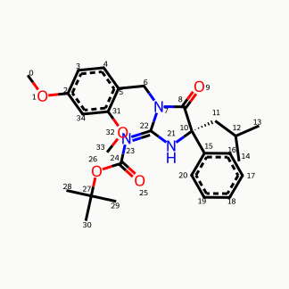 COc1ccc(CN2C(=O)[C@@](CC(C)C)(c3ccccc3)NC2=NC(=O)OC(C)(C)C)c(OC)c1